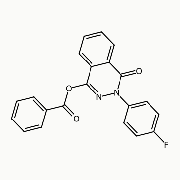 O=C(Oc1nn(-c2ccc(F)cc2)c(=O)c2ccccc12)c1ccccc1